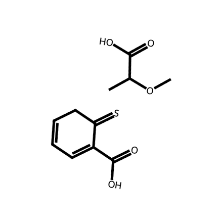 COC(C)C(=O)O.O=C(O)C1=CC=CCC1=S